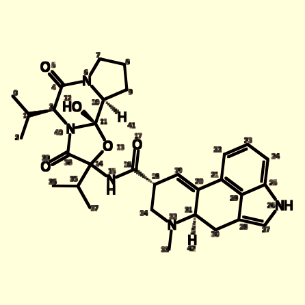 CC(C)[C@H]1C(=O)N2CCC[C@H]2[C@]2(O)OC(NC(=O)[C@@H]3C=C4c5cccc6[nH]cc(c56)C[C@H]4N(C)C3)(C(C)C)C(=O)N12